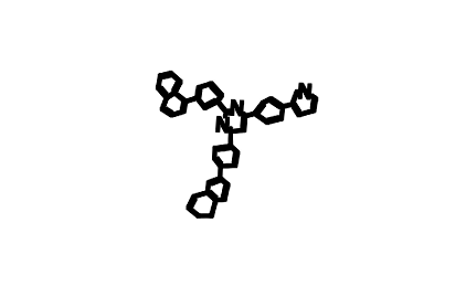 C1=Cc2cc(-c3ccc(-c4cc(-c5ccc(-c6cccnc6)cc5)nc(-c5cccc(-c6cccc7ccccc67)c5)n4)cc3)ccc2CC1